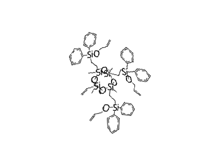 C=CCO[Si](CC[Si]1(C)O[Si](C)(C=C)O[Si](C)(CC[Si](OCC=C)(c2ccccc2)c2ccccc2)O[Si](C)(CC[Si](OCC=C)(c2ccccc2)c2ccccc2)O1)(c1ccccc1)c1ccccc1